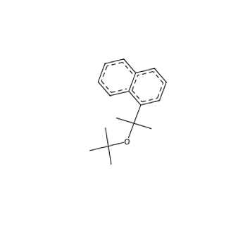 CC(C)(C)OC(C)(C)c1cccc2ccccc12